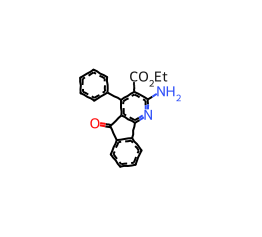 CCOC(=O)c1c(N)nc2c(c1-c1ccccc1)C(=O)c1ccccc1-2